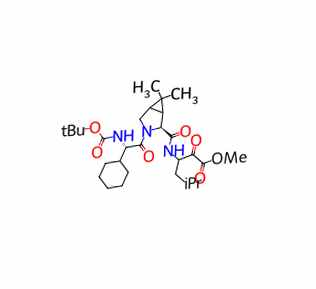 COC(=O)C(=O)C(CC(C)C)NC(=O)[C@@H]1C2C(CN1C(=O)[C@@H](NC(=O)OC(C)(C)C)C1CCCCC1)C2(C)C